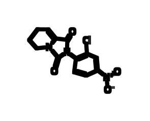 O=C1C2=CCCCN2C(=O)N1c1ccc([N+](=O)[O-])cc1Cl